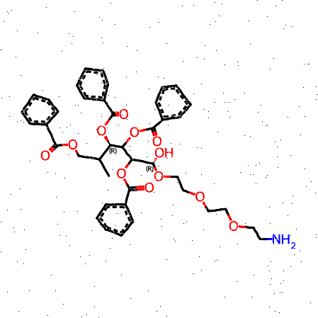 CC(COC(=O)c1ccccc1)[C@@H](OC(=O)c1ccccc1)C(OC(=O)c1ccccc1)C(OC(=O)c1ccccc1)[C@H](O)OCCOCCOCCN